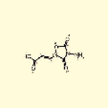 Nn1c(=O)on(C=CC(=O)O)c1=O